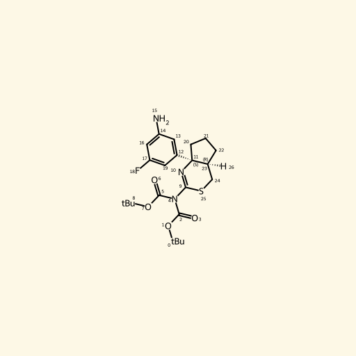 CC(C)(C)OC(=O)N(C(=O)OC(C)(C)C)C1=N[C@@]2(c3cc(N)cc(F)c3)CCC[C@H]2CS1